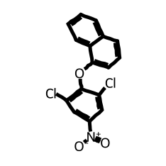 O=[N+]([O-])c1cc(Cl)c(Oc2cccc3ccccc23)c(Cl)c1